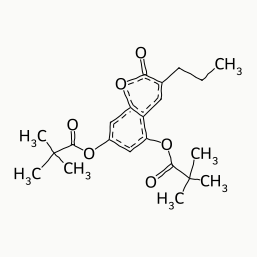 CCCc1cc2c(OC(=O)C(C)(C)C)cc(OC(=O)C(C)(C)C)cc2oc1=O